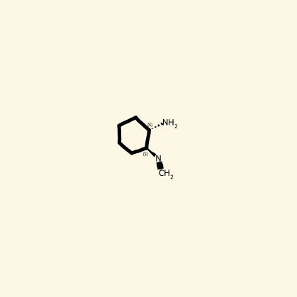 C=N[C@H]1CCCC[C@@H]1N